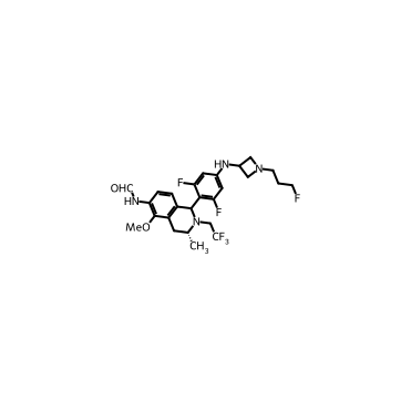 COc1c(NC=O)ccc2c1C[C@@H](C)N(CC(F)(F)F)C2c1c(F)cc(NC2CN(CCCF)C2)cc1F